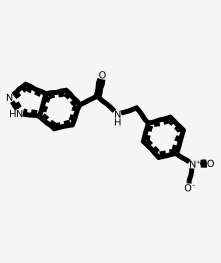 O=C(NCc1ccc([N+](=O)[O-])cc1)c1ccc2[nH]ncc2c1